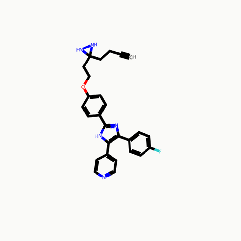 C#CCCC1(CCOc2ccc(-c3nc(-c4ccc(F)cc4)c(-c4ccncc4)[nH]3)cc2)NN1